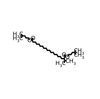 CC(C)CCCOC(=O)CCCCCCCCCCCCCCCCCC(C(=O)OCCCC(C)C)C(C)C